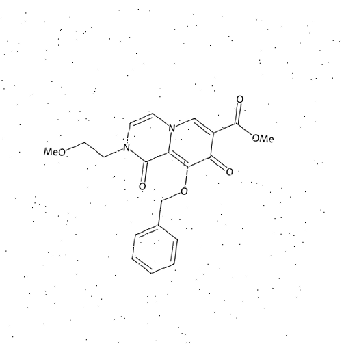 COCCn1ccn2cc(C(=O)OC)c(=O)c(OCc3ccccc3)c2c1=O